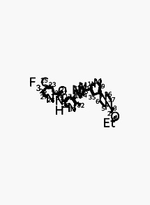 CCOCCN1CCN(c2cncc(-c3cn(-c4cc(NC(=O)c5cc(C(F)(F)F)ccn5)cnc4C)nn3)c2)CC1